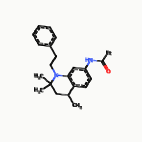 CCC(=O)Nc1ccc2c(c1)N(CCc1ccccc1)C(C)(C)CC2C